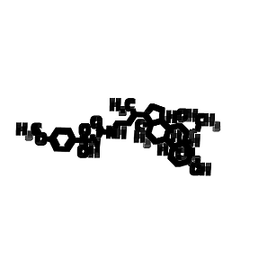 CC[C@H]1[C@@H](O)[C@@H]2[C@H](CC[C@]3(C)[C@@H]([C@H](C)CCNC(=O)NS(=O)(=O)c4ccc(OC)cc4)CC[C@@H]23)[C@@]2(C)CC[C@@H](O)C[C@@H]12